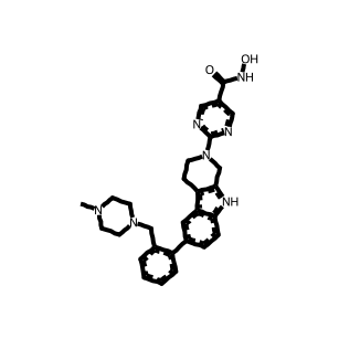 CN1CCN(Cc2ccccc2-c2ccc3[nH]c4c(c3c2)CCN(c2ncc(C(=O)NO)cn2)C4)CC1